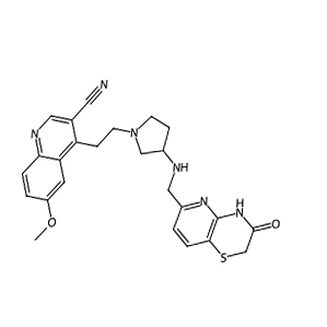 COc1ccc2ncc(C#N)c(CCN3CCC(NCc4ccc5c(n4)NC(=O)CS5)C3)c2c1